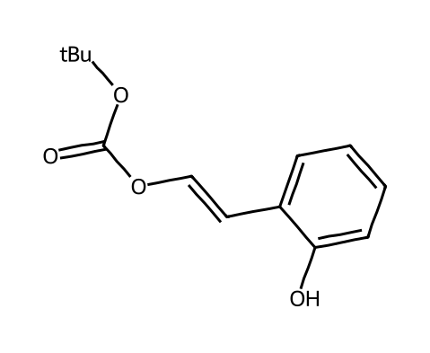 CC(C)(C)OC(=O)OC=Cc1ccccc1O